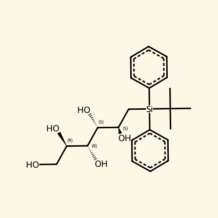 CC(C)(C)[Si](C[C@@H](O)[C@@H](O)[C@H](O)[C@H](O)CO)(c1ccccc1)c1ccccc1